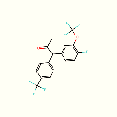 CC(=O)C(c1ccc(C(F)(F)F)cc1)c1ccc(F)c(OC(F)(F)F)c1